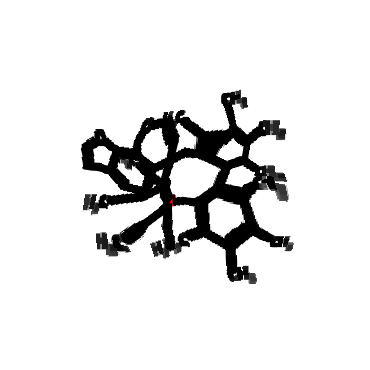 Cc1c(C)c(C)c2c(c1C)-c1c(C)c(C)c(C)c(C)c1C1(C=COc3c1ccc1ccoc31)c1c(C)c(C)c(C)c(C)c1-2